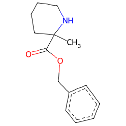 CC1(C(=O)OCc2ccccc2)CCCCN1